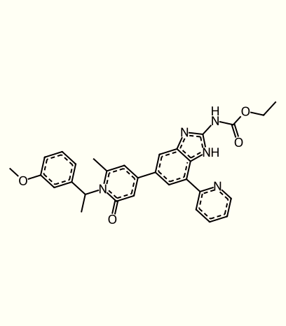 CCOC(=O)Nc1nc2cc(-c3cc(C)n(C(C)c4cccc(OC)c4)c(=O)c3)cc(-c3ccccn3)c2[nH]1